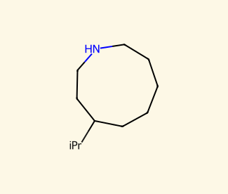 CC(C)C1CCCCCNCC1